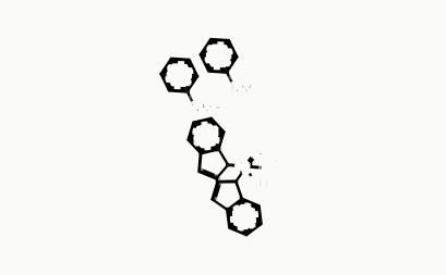 CNc1ccccc1.CNc1ccccc1.[CH3][Zr]([CH3])(=[SiH2])([CH]1C=Cc2ccccc21)[CH]1C=Cc2ccccc21